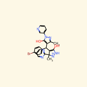 Cc1nn(-c2cccnc2)c(O)c1C(C1=C(O)NNC1(C)c1ncccn1)c1ccc(Br)cc1